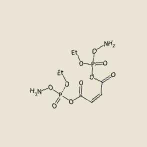 CCOP(=O)(ON)OC(=O)/C=C\C(=O)OP(=O)(ON)OCC